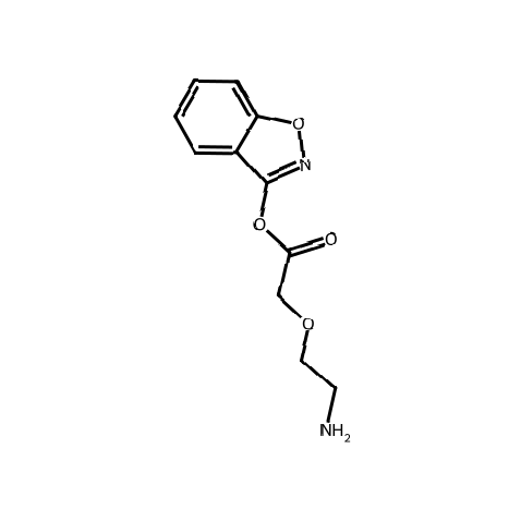 NCCOCC(=O)Oc1noc2ccccc12